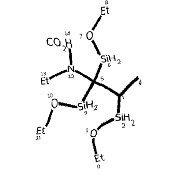 CCO[SiH2]C(C)C([SiH2]OCC)([SiH2]OCC)N(CC)C(=O)O